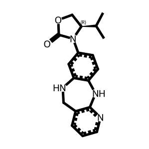 CC(C)[C@@H]1COC(=O)N1c1ccc2c(c1)NCc1cccnc1N2